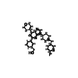 OCc1cccc(-c2nc(C3=CCOCC3)c3ncn(C4CCN(Cc5ccc(F)nc5)CC4)c3n2)c1